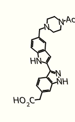 CC(=O)N1CCN(Cc2ccc3[nH]c(-c4n[nH]c5cc(CC(=O)O)ccc45)cc3c2)CC1